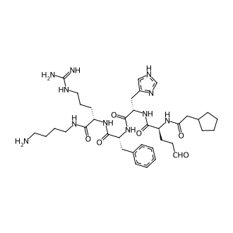 N=C(N)NCCC[C@H](NC(=O)[C@@H](Cc1ccccc1)NC(=O)[C@H](Cc1c[nH]cn1)NC(=O)[C@H](CCC=O)NC(=O)CC1CCCC1)C(=O)NCCCCN